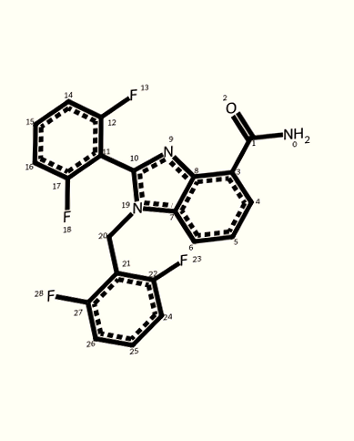 NC(=O)c1cccc2c1nc(-c1c(F)cccc1F)n2Cc1c(F)cccc1F